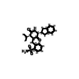 CC(C)[C@@H]1C(=O)N[C@H](C2Cc3ccccc3C2)C(=O)N1Cc1ccccc1S(N)(=O)=O